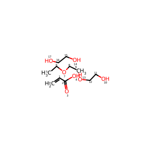 C=CC(=O)O.CCOCC.OCCO.OCCO